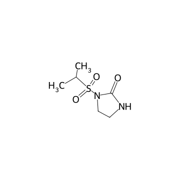 CC(C)S(=O)(=O)N1CCNC1=O